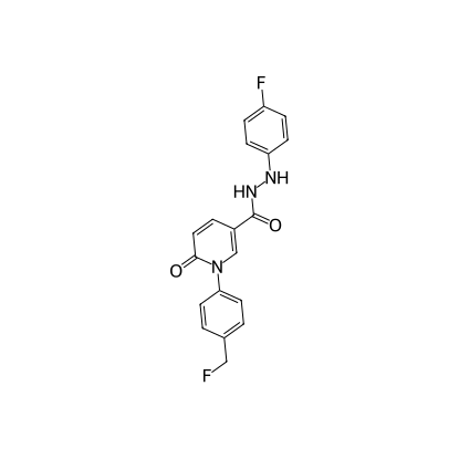 O=C(NNc1ccc(F)cc1)c1ccc(=O)n(-c2ccc(CF)cc2)c1